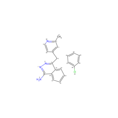 Cc1cc(Cc2nnc(N)c3ccccc23)ccn1.Clc1ccccc1